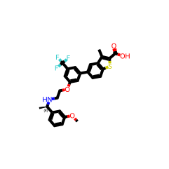 COc1cccc([C@@H](C)NCCOc2cc(-c3ccc4sc(C(=O)O)c(C)c4c3)cc(C(F)(F)F)c2)c1